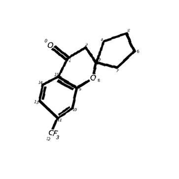 O=C1CC2(CCCC2)Oc2cc(C(F)(F)F)ccc21